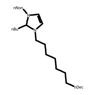 CCCCCCCCCCCCCCCCCN1C=CN(CCCCCCCCC)C1CCCC